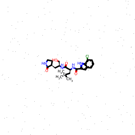 C[Si](C)(C)C[C@H](NC(=O)c1cc2cccc(Cl)c2[nH]1)C(=O)N[C@H](CO)C[C@@H]1CCNC1=O